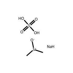 C[S+](C)[O-].O=S(=O)(O)O.[NaH]